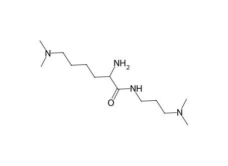 CN(C)CCCCC(N)C(=O)NCCCN(C)C